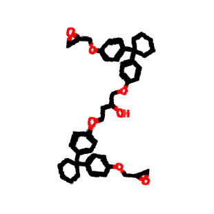 OC(CCOc1ccc(C2(c3ccc(OCC4CO4)cc3)CCCCC2)cc1)COc1ccc(C2(c3ccc(OCC4CO4)cc3)CCCCC2)cc1